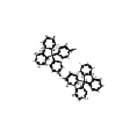 Cc1ccc(C2(c3ccc(Oc4ccc(C5(c6ccccc6)c6ccccc6-c6ccccc65)cc4)cc3)c3ccccc3-c3ccccc32)cc1